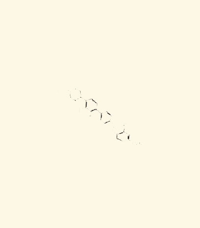 CCCCc1ccc(COc2ccc(-c3ccc(C4CCC(CCC)CC4)c(F)c3F)cc2)c(F)c1